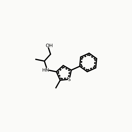 Cc1sc(-c2ccccc2)cc1NC(C)CO